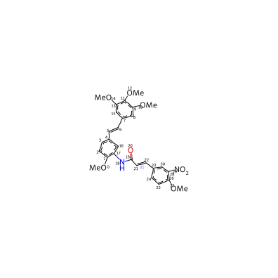 COc1ccc(C=Cc2cc(OC)c(OC)c(OC)c2)cc1NC(=O)/C=C/c1ccc(OC)c([N+](=O)[O-])c1